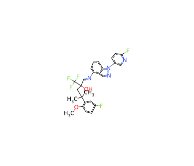 COc1ccc(F)cc1C(C)(C)CC(O)(/C=N/c1cccc2c1cnn2-c1ccc(F)nc1)C(F)(F)F